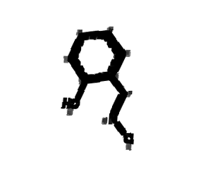 Oc1ccccc1C=NCl